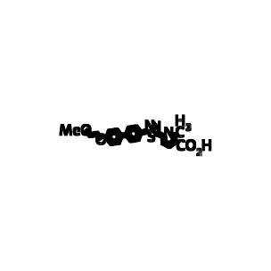 COCCOc1ccc(-c2ccc(-c3nnc(-c4ccc(C(=O)O)c(C)n4)s3)cc2)cc1